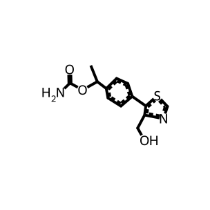 CC(OC(N)=O)c1ccc(-c2scnc2CO)cc1